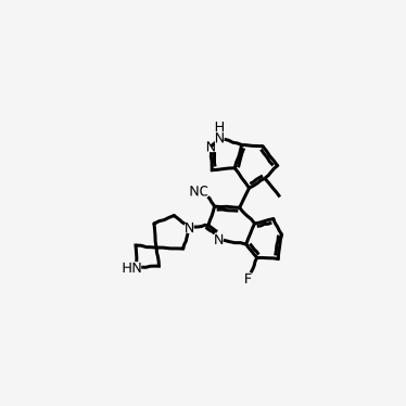 Cc1ccc2[nH]ncc2c1-c1c(C#N)c(N2CCC3(CNC3)C2)nc2c(F)cccc12